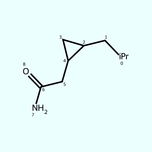 CC(C)CC1CC1CC(N)=O